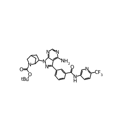 CC(C)(C)OC(=O)N1CC2CC1C(n1nc(-c3cccc(C(=O)Nc4ccc(C(F)(F)F)nc4)c3)c3c(N)ncnc31)C2